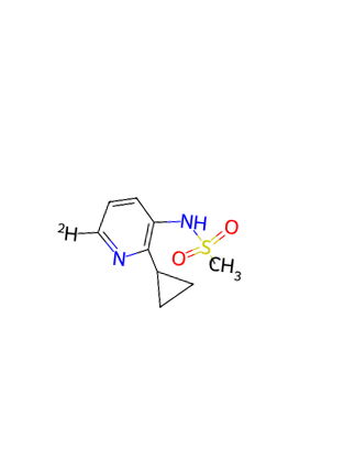 [2H]c1ccc(NS(C)(=O)=O)c(C2CC2)n1